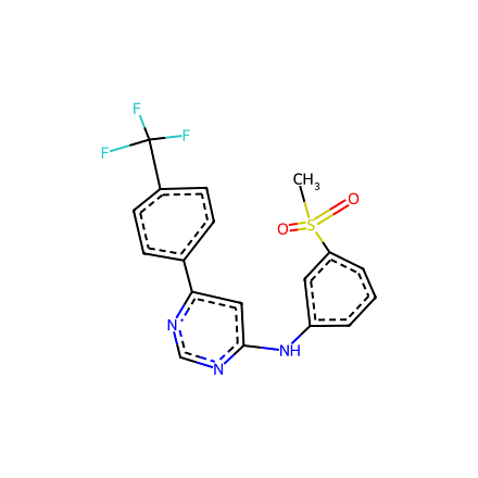 CS(=O)(=O)c1cccc(Nc2cc(-c3ccc(C(F)(F)F)cc3)ncn2)c1